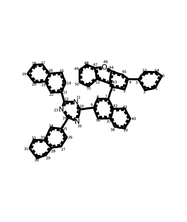 c1ccc(-c2cc(-c3cc(-c4nc(-c5ccc6ccccc6c5)nc(-c5ccc6ccccc6c5)n4)cc4ccccc34)c3c(c2)oc2ccccc23)cc1